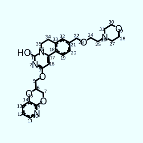 OC1N=C(OCC2COc3ncccc3O2)C=C2c3ccc(COCCN4CCOCC4)cc3CCN21